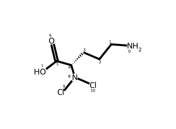 NCCC[C@@H](C(=O)O)N(Cl)Cl